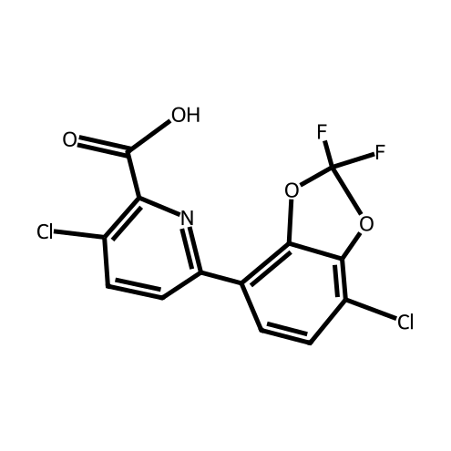 O=C(O)c1nc(-c2ccc(Cl)c3c2OC(F)(F)O3)ccc1Cl